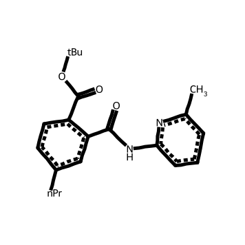 CCCc1ccc(C(=O)OC(C)(C)C)c(C(=O)Nc2cccc(C)n2)c1